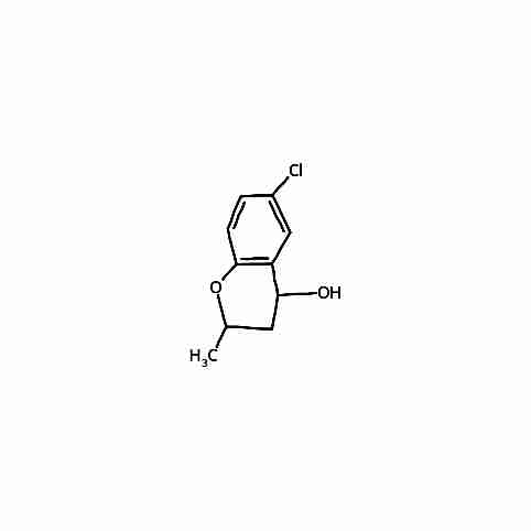 CC1CC(O)c2cc(Cl)ccc2O1